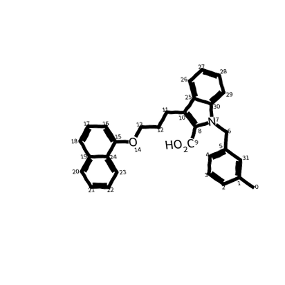 Cc1cccc(Cn2c(C(=O)O)c(CCCOc3cccc4ccccc34)c3ccccc32)c1